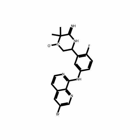 CC1(C)C(=N)NC(c2cc(Nc3nccc4cc(Br)cnc34)ccc2F)C[S+]1[O-]